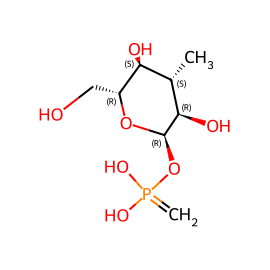 C=P(O)(O)O[C@H]1O[C@H](CO)[C@@H](O)[C@H](C)[C@H]1O